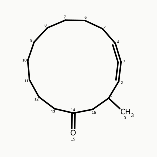 CC1C=C=CCCCCCCCCCC(=O)C1